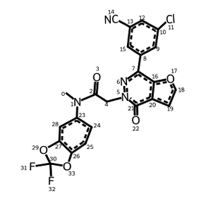 CN(C(=O)Cn1nc(-c2cc(Cl)cc(C#N)c2)c2occc2c1=O)c1ccc2c(c1)OC(F)(F)O2